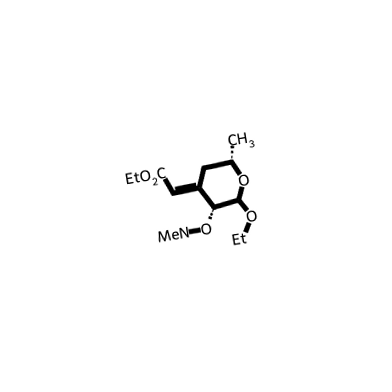 CCOC(=O)/C=C1\C[C@H](C)OC(OCC)[C@@H]1ONC